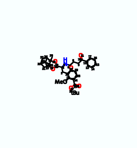 COc1c(CC(NC(=O)CCC(=O)c2ccccc2)B2OC3CC4CC(C4(C)C)C3(C)O2)cccc1C(=O)OC(C)(C)C